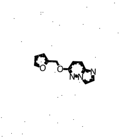 c1coc(COc2ccc3nccn3n2)c1